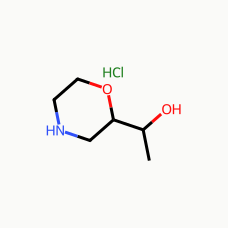 CC(O)C1CNCCO1.Cl